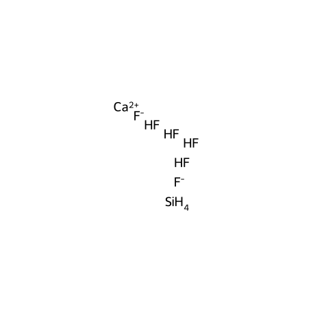 F.F.F.F.[Ca+2].[F-].[F-].[SiH4]